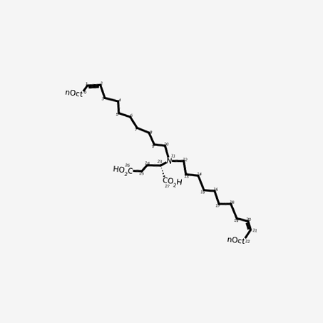 CCCCCCCC/C=C\CCCCCCCCN(CCCCCCCC/C=C\CCCCCCCC)[C@@H](CCC(=O)O)C(=O)O